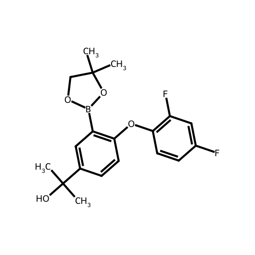 CC1(C)COB(c2cc(C(C)(C)O)ccc2Oc2ccc(F)cc2F)O1